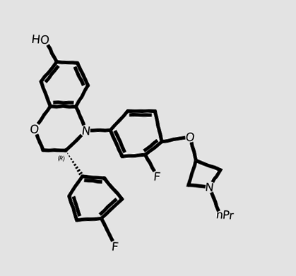 CCCN1CC(Oc2ccc(N3c4ccc(O)cc4OC[C@H]3c3ccc(F)cc3)cc2F)C1